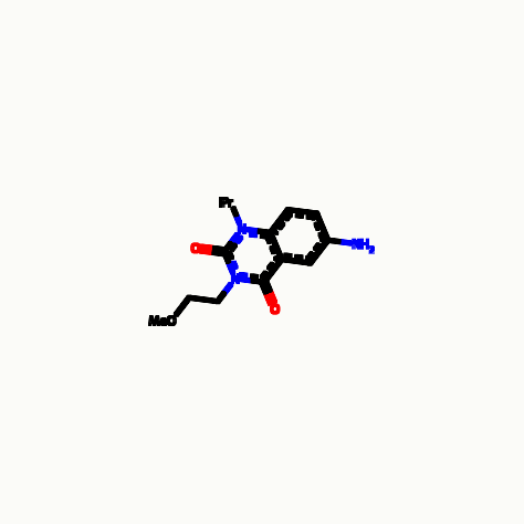 COCCn1c(=O)c2cc(N)ccc2n(C(C)C)c1=O